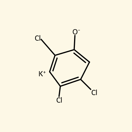 [K+].[O-]c1cc(Cl)c(Cl)cc1Cl